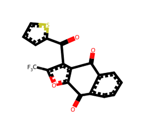 O=C1c2ccccc2C(=O)c2c1oc(C(F)(F)F)c2C(=O)c1cccs1